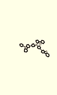 c1ccc(-n2c3ccccc3c3cc(-c4ccc(N(c5ccc(-c6ccc7c(c6)sc6ccccc67)cc5)c5cccc6c5oc5ccccc56)cc4)ccc32)cc1